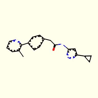 Cc1cccnc1-c1ccc(CC(=O)Nc2cc(C3CC3)[nH]n2)cc1